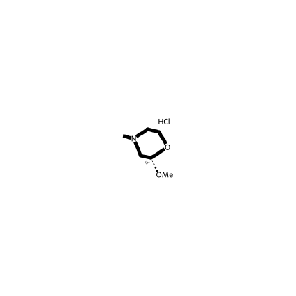 CO[C@@H]1CN(C)CCO1.Cl